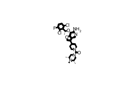 C[C@@H]1CN(C(=O)N2CC=C(c3coc4c(O[C@H](C)c5c(Cl)ccc(F)c5Cl)c(N)ncc34)CC2)C[C@H](C)N1C